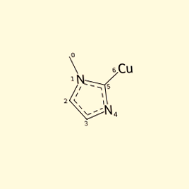 Cn1ccn[c]1[Cu]